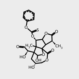 C[C@@H]1C(=O)OC2C1C13OC(O)C([C@@H](O)C=O)(C[C@@H](O)COC1=O)C3(C)[C@H]2OC(=S)Oc1ccccc1